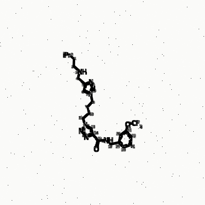 CC(C)CCNCc1cn(CCCCn2cc(C(=O)NCc3cccc(OC(F)(F)F)c3)nn2)nn1